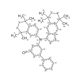 CC1(C)CCC(C)(C)c2cc(N(c3cc(Cl)cc(-c4ccccc4)c3)c3csc4cc5c(cc34)C(C)(C)CCC5(C)C)ccc21